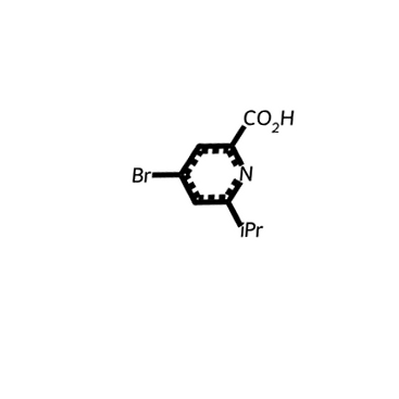 CC(C)c1cc(Br)cc(C(=O)O)n1